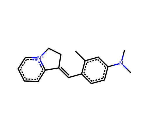 Cc1cc(N(C)C)ccc1C=C1CC[n+]2ccccc21